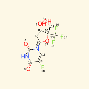 O=c1[nH]c(=O)n([C@H]2C[C@H](O)[C@](CO)(C(F)(F)F)O2)cc1F